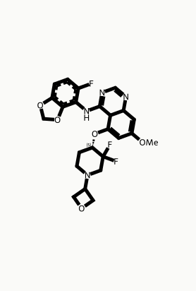 COC1=CC2N=CN=C(Nc3c(F)ccc4c3OCO4)C2C(O[C@H]2CCN(C3COC3)CC2(F)F)=C1